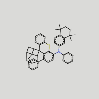 CC1(C)CCC(C)(C)c2cc(N(c3ccccc3)c3ccc(-c4ccccc4)c4c3Sc3ccccc3C43C4CC5CC6CC3C64C5)ccc21